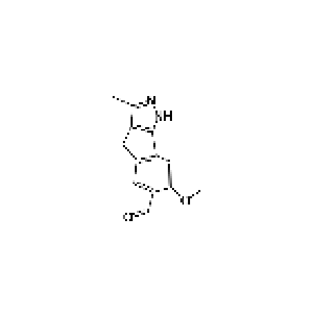 COc1cc2c(cc1C=O)Cc1c(I)n[nH]c1-2